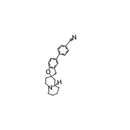 N#Cc1ccc(-c2ccc3c(c2)C[C@@]2(CCN4CCCC[C@H]4C2)O3)cc1